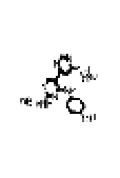 CCCCNc1ncc(-c2cc(NC(C)(C)C)ncn2)c(N[C@H]2CC[C@H](O)CC2)n1